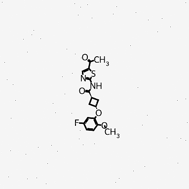 COc1ccc(F)cc1O[C@H]1C[C@H](C(=O)Nc2ncc(C(C)=O)s2)C1